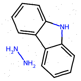 NN.c1ccc2c(c1)[nH]c1ccccc12